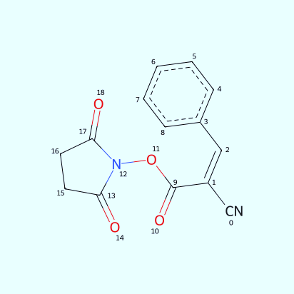 N#CC(=Cc1ccccc1)C(=O)ON1C(=O)CCC1=O